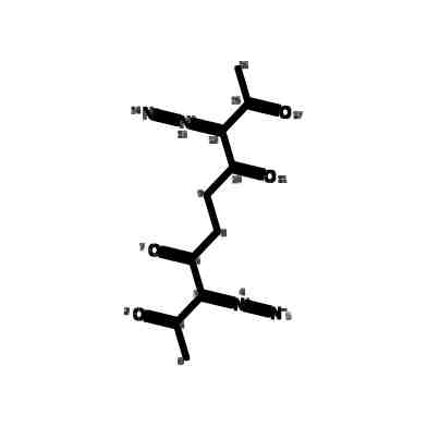 CC(=O)C(=[N+]=[N-])C(=O)CCC(=O)C(=[N+]=[N-])C(C)=O